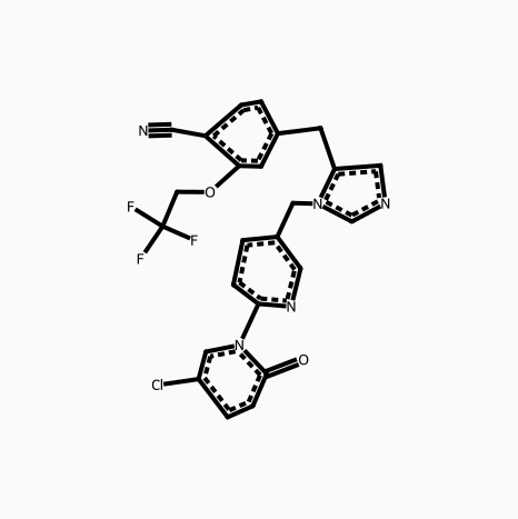 N#Cc1ccc(Cc2cncn2Cc2ccc(-n3cc(Cl)ccc3=O)nc2)cc1OCC(F)(F)F